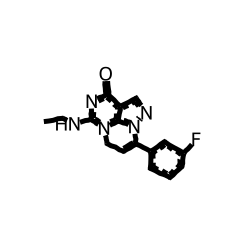 CCNc1nc(=O)c2cnn3c2n1CC=C3c1cccc(F)c1